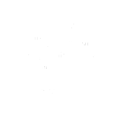 CCNC(C)(C)CC(C)(C)C(=O)NCC(C)C